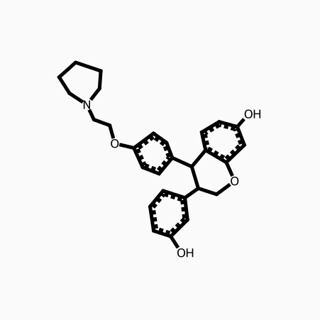 Oc1cccc(C2COc3cc(O)ccc3C2c2ccc(OCCN3CCCCC3)cc2)c1